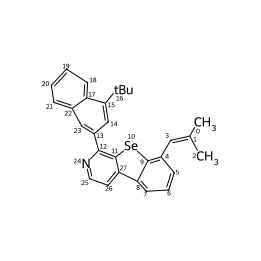 CC(C)=Cc1cccc2c1[se]c1c(-c3cc(C(C)(C)C)c4ccccc4c3)nccc12